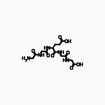 NCC(=O)NCC(=O)N[C@@H](CCC(=O)O)C(=O)NCC(=O)NCC(=O)O